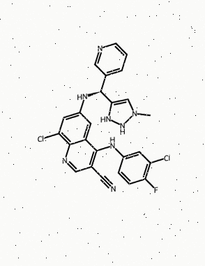 CN1C=C([C@@H](Nc2cc(Cl)c3ncc(C#N)c(Nc4ccc(F)c(Cl)c4)c3c2)c2cccnc2)NN1